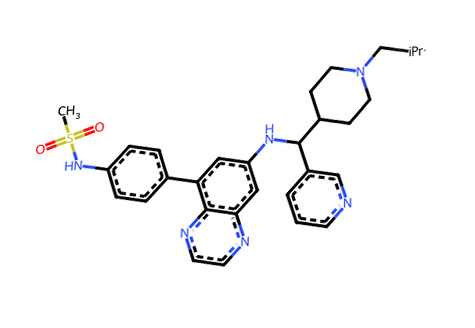 C[C](C)CN1CCC(C(Nc2cc(-c3ccc(NS(C)(=O)=O)cc3)c3nccnc3c2)c2cccnc2)CC1